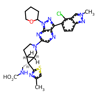 Cc1csc([C@@]2(CNC(=O)O)[C@@H]3CCN(c4cnc5c(-c6ccc7nn(C)cc7c6Cl)nn(C6CCCCO6)c5n4)C[C@@H]32)n1